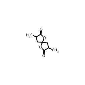 CC1CC2(CC(C)C(=O)O2)OC1=O